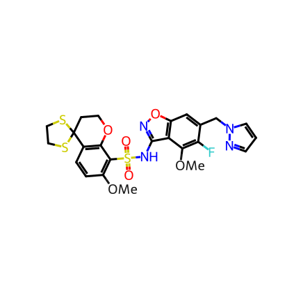 COc1ccc2c(c1S(=O)(=O)Nc1noc3cc(Cn4cccn4)c(F)c(OC)c13)OCCC21SCCS1